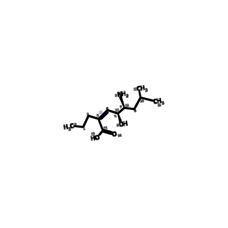 CCC/C(=C/[C@H](O)[C@@H](N)CC(C)C)C(=O)O